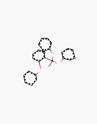 [Ti][C](Oc1ccccc1)(Oc1ccccc1)c1ccccc1Oc1ccccc1